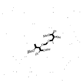 CC[C@H](OC)[C@@H](O)[C@H](C)OCO[C@@H]([C@H](C)OC)[C@H](CC)OC